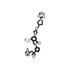 Cn1cnnc1CC1(c2cccc(N3Cc4c(cc(N5CC(OCC6CCN(C(=O)OC(C)(C)C)CC6)C5)cc4C(F)(F)F)C3=O)c2)COC1